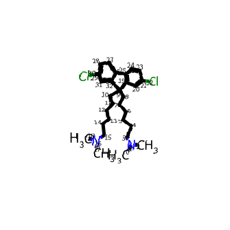 CN(C)CCCCCCC1(CCCCCCN(C)C)c2cc(Cl)ccc2-c2ccc(Cl)cc21